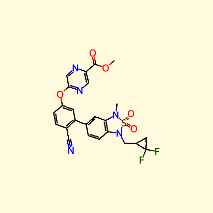 COC(=O)c1cnc(Oc2ccc(C#N)c(-c3ccc4c(c3)N(C)S(=O)(=O)N4CC3CC3(F)F)c2)cn1